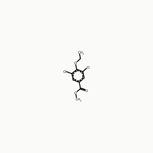 CCOc1c(Cl)cc(C(=O)OC)cc1Cl